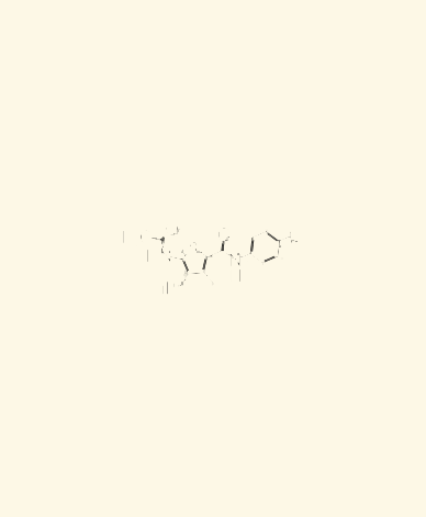 Cc1c(C(=O)Nc2ccc(Cl)cc2)sc(NC(=O)C(F)(F)F)c1C(C)C